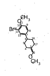 COC=C1CCC(c2ccc(OC)c(Br)c2)CC1